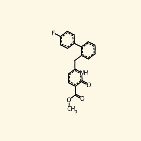 COC(=O)c1ccc(Cc2ccccc2-c2ccc(F)cc2)[nH]c1=O